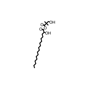 CCCCCCCCCCCCCCCCC(O)C(=O)OC(=O)C(C)(C)CO